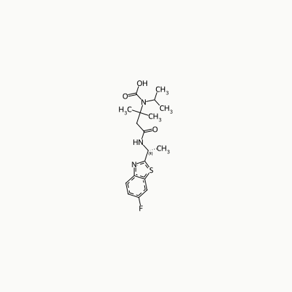 CC(C)N(C(=O)O)C(C)(C)CC(=O)N[C@H](C)c1nc2ccc(F)cc2s1